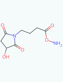 NOC(=O)CCCN1C(=O)CC(O)C1=O